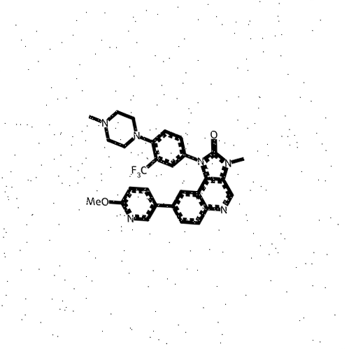 COc1ccc(-c2ccc3ncc4c(c3c2)n(-c2ccc(N3CCN(C)CC3)c(C(F)(F)F)c2)c(=O)n4C)cn1